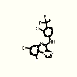 Fc1cc(Cl)cc2nc(Nc3ccc(C(F)(F)F)c(Cl)c3)c3nccn3c12